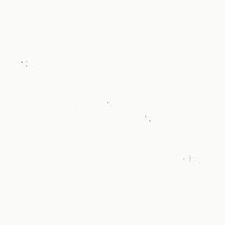 CCCN1CCN(c2ccc(C#N)cc2)CC1